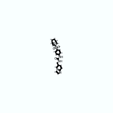 O=C(NCc1ccc2nccn2c1)Nc1ccc(S(=O)(=O)N2CC3CCC(C2)O3)cc1